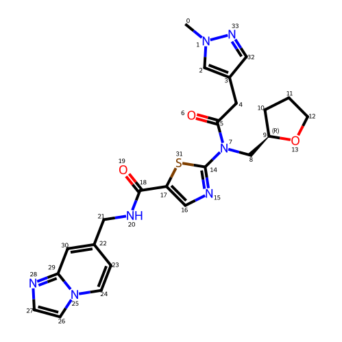 Cn1cc(CC(=O)N(C[C@H]2CCCO2)c2ncc(C(=O)NCc3ccn4ccnc4c3)s2)cn1